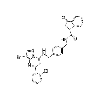 O=C1CC(C(=O)NCc2ccc(CNc3cc(-c4ccccc4Cl)nc4c(Br)cnn34)cc2)c2ccccc21